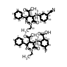 CCn1nc(-c2ccccc2)c(C(C)=O)c(Nc2cc(F)ccc2C(=O)O)c1=O.CCn1nc(-c2ccccc2)c(C(C)=O)c(Nc2cccc(C#N)c2)c1=O